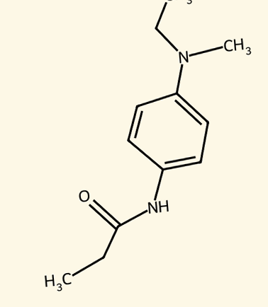 CCC(=O)Nc1ccc(N(C)CC)cc1